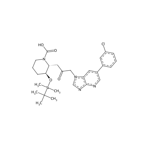 CC(C)(C)[Si](C)(C)O[C@H]1CCCN(C(=O)O)[C@@H]1CC(=O)Cn1cnc2ncc(-c3cccc(Cl)c3)cc21